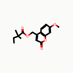 CCC(C)(C)C(=O)OCc1cc(=O)oc2cc(OC)ccc12